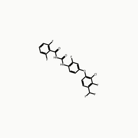 O=C(NC(=O)c1c(F)cccc1F)Nc1ccc(Oc2ccc(C(F)F)c(F)c2Cl)cc1F